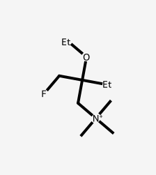 CCOC(CC)(CF)C[N+](C)(C)C